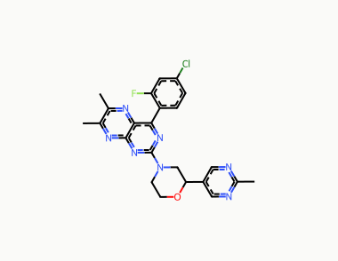 Cc1ncc(C2CN(c3nc(-c4ccc(Cl)cc4F)c4nc(C)c(C)nc4n3)CCO2)cn1